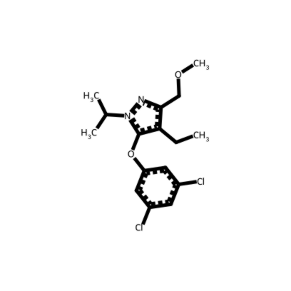 CCc1c(COC)nn(C(C)C)c1Oc1cc(Cl)cc(Cl)c1